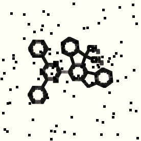 CC1(C)c2ccccc2-c2c(-c3nc(-c4ccccc4)nc(-c4ccccc4)n3)cc3c(c21)-c1ccccc1C3